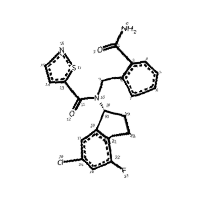 NC(=O)c1ccccc1CN(C(=O)c1ccns1)[C@@H]1CCc2c(F)cc(Cl)cc21